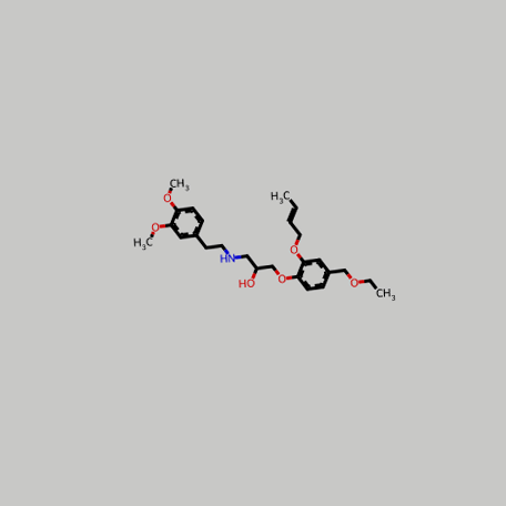 CC=CCOc1cc(COCC)ccc1OCC(O)CNCCc1ccc(OC)c(OC)c1